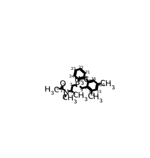 CC(=O)N(C)C(C)CP(Cc1c(C)cc(C)cc1C)c1ccccc1